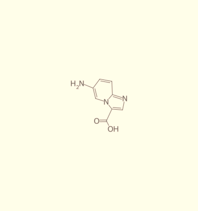 Nc1ccc2ncc(C(=O)O)n2c1